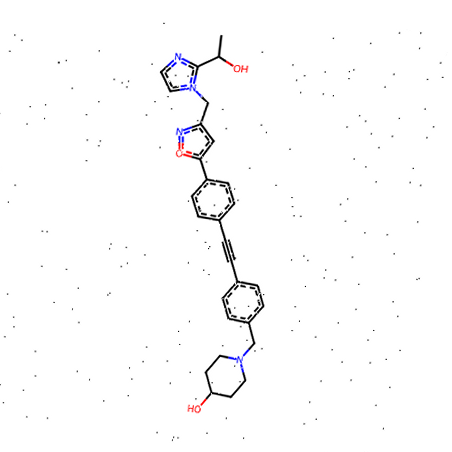 CC(O)c1nccn1Cc1cc(-c2ccc(C#Cc3ccc(CN4CCC(O)CC4)cc3)cc2)on1